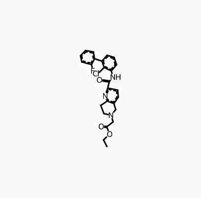 CCOC(=O)CN1CCc2nc(C(=O)Nc3cccc(-c4ccccc4F)c3Cl)ccc2C1